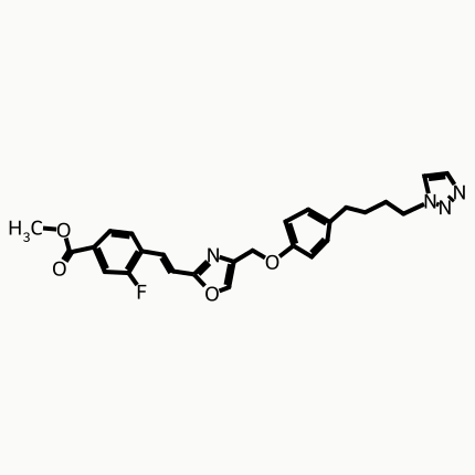 COC(=O)c1ccc(C=Cc2nc(COc3ccc(CCCCn4ccnn4)cc3)co2)c(F)c1